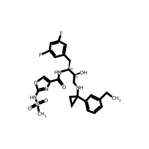 CCc1cccc(C2(NC[C@H](O)[C@H](Cc3cc(F)cc(F)c3)NC(=O)c3coc(NS(C)(=O)=O)n3)CC2)c1